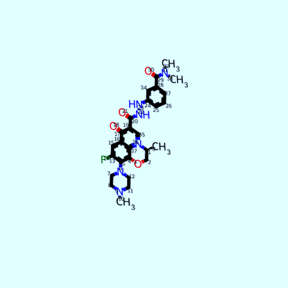 C[C@H]1COc2c(N3CCN(C)CC3)c(F)cc3c(=O)c(C(=O)NNc4cccc(C(=O)N(C)C)c4)cn1c23